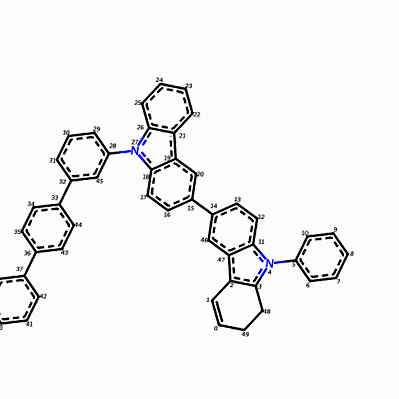 C1=Cc2c(n(-c3ccccc3)c3ccc(-c4ccc5c(c4)c4ccccc4n5-c4cccc(-c5ccc(-c6ccccc6)cc5)c4)cc23)CC1